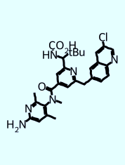 Cc1cc(N)nc(C)c1N(C)C(=O)c1cc(Cc2ccc3ncc(Cl)cc3c2)nc(C(NC(=O)O)C(C)(C)C)c1